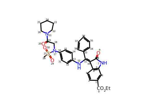 CCOC(=O)c1ccc2c(c1)NC(=O)C2=C(Nc1ccc(N(CC(=O)N2CCCCC2)S(C)(=O)=O)cc1)c1ccccc1